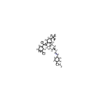 Cc1ccc(/C=C/CN2CCC3(CC2)CN(C(=O)c2ccnc(Cl)c2)c2ccc(C(F)(F)F)cc23)cc1